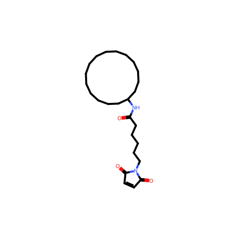 O=C(CCCCCN1C(=O)C=CC1=O)NC1CCCCCCCCCCCCCCC1